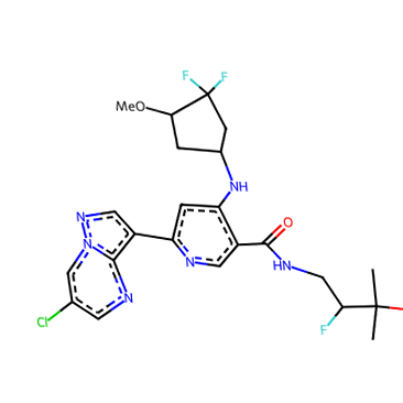 COC1CC(Nc2cc(-c3cnn4cc(Cl)cnc34)ncc2C(=O)NCC(F)C(C)(C)O)CC1(F)F